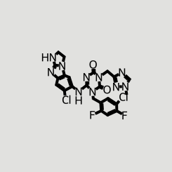 Cn1cnc(Cn2c(=O)nc(Nc3cc4c(cc3Cl)nc3n4CCN3)n(Cc3cc(Cl)c(F)cc3F)c2=O)n1